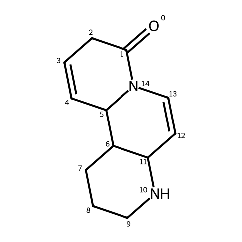 O=C1CC=CC2C3CCCNC3C=CN12